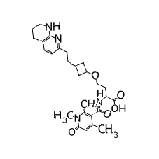 Cc1cc(=O)n(C)c(C)c1C(=O)NC(CCOC1CC(CCc2ccc3c(n2)NCCC3)C1)C(=O)O